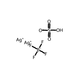 F[B-](F)(F)F.O=S(=O)([O-])O.[Ag+].[Ag+]